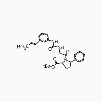 CC(C)(C)OC(=O)C1CCC(c2ccccc2)N1C(=O)CNC(=O)Nc1cccc(C=CC(=O)O)c1